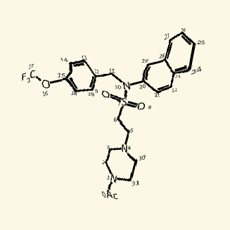 CC(=O)N1CCN(CCS(=O)(=O)N(Cc2ccc(OC(F)(F)F)cc2)c2ccc3ccccc3c2)CC1